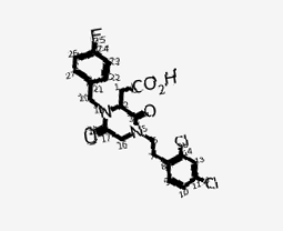 O=C(O)CC1C(=O)N(CCc2ccc(Cl)cc2Cl)CC(=O)N1Cc1ccc(F)cc1